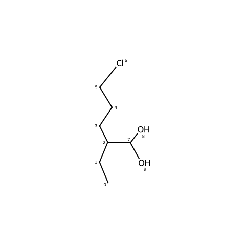 CCC(CCCCl)C(O)O